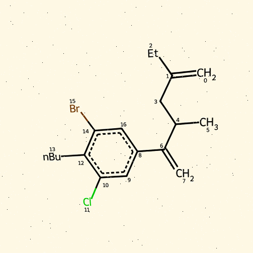 C=C(CC)CC(C)C(=C)c1cc(Cl)c(CCCC)c(Br)c1